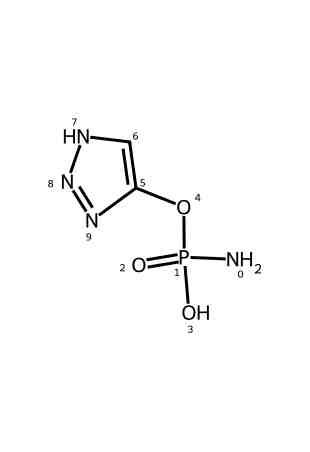 NP(=O)(O)Oc1c[nH]nn1